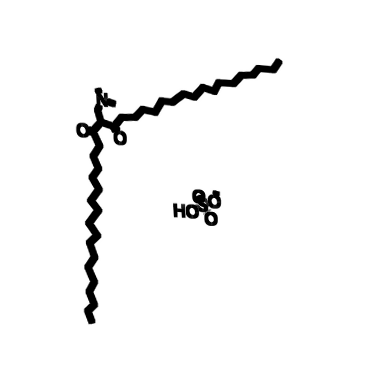 CCCCCCCCCCCCCCCCCC(=O)C(CN(C)C)C(=O)CCCCCCCCCCCCCCCCC.COS(=O)(=O)O